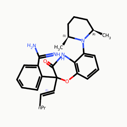 CCC/C=C/C1(c2ccccc2C(=N)N)Oc2cccc(N3[C@H](C)CCC[C@@H]3C)c2NC1=O